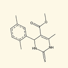 COC(=O)C1=C(C)NC(=S)NC1c1cc(C)ccc1C